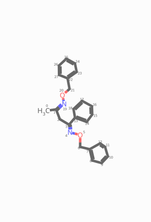 CC(CC(=NOCc1ccccc1)c1ccccc1)=NOCc1ccccc1